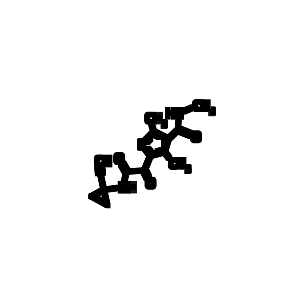 C#CC1(NC(=O)C(=O)c2sc(C)c(C(=O)NC)c2C)CC1